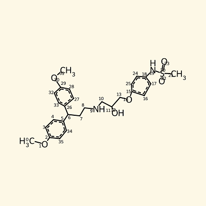 COc1ccc(C(CCNCC(O)COc2ccc(NS(C)(=O)=O)cc2)c2ccc(OC)cc2)cc1